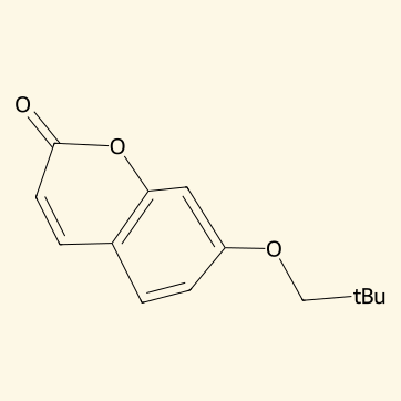 CC(C)(C)COc1ccc2ccc(=O)oc2c1